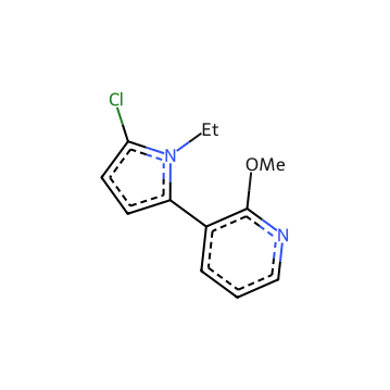 CCn1c(Cl)ccc1-c1cccnc1OC